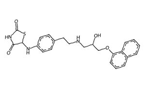 O=C1NC(=O)C(Nc2ccc(CCNCC(O)COc3cccc4ccccc34)cc2)S1